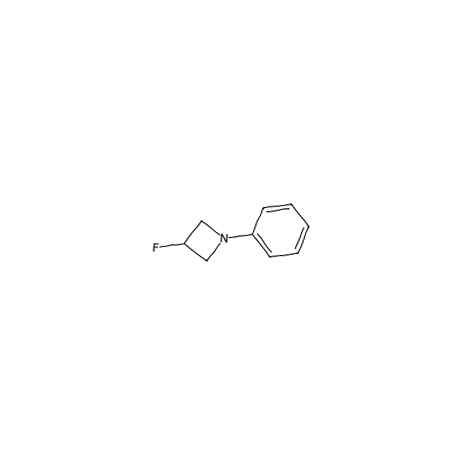 FC1CN(c2ccccc2)C1